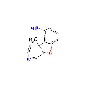 CC12C=CN=CC1Oc1cccc(N)c12